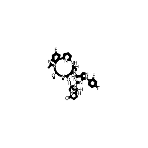 CO[C@H]1CN(C)C(=O)[C@@H]2C[C@@H](CN2c2nc(N3[C@H]4C[C@@H]3[C@H]3CCC(=O)N3C4)nc3c2cnn3-c2ccc(F)cc2F)Nc2cccc(n2)-c2cc(F)cc3nc(C)n(c23)C1